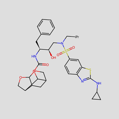 CC(C)CN(C[C@@H](O)[C@H](Cc1ccccc1)NC(=O)OC1C2COC3OCC1C3C2)S(=O)(=O)c1ccc2nc(NC3CC3)sc2c1